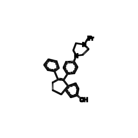 CC(C)N1CCN(c2ccc(C3=C(c4ccccc4)CCCc4cc(O)ccc43)cc2)CC1